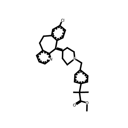 COC(=O)C(C)(C)c1ccc(CN2CCC(=C3c4ccc(Cl)cc4CCc4cccnc43)CC2)cc1